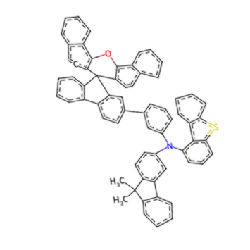 CC1(C)c2ccccc2-c2cc(N(c3cccc(-c4ccc5c(c4)C4(c6ccccc6-5)c5ccc6ccccc6c5Oc5c4ccc4ccccc54)c3)c3cccc4sc5ccccc5c34)ccc21